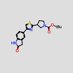 CC(C)(C)OC(=O)N1CCC(c2nc(-c3ccc4c(c3)CC(=O)N4)cs2)C1